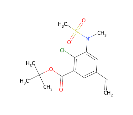 C=Cc1cc(C(=O)OC(C)(C)C)c(Cl)c(N(C)S(C)(=O)=O)c1